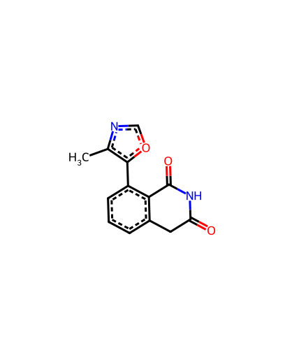 Cc1ncoc1-c1cccc2c1C(=O)NC(=O)C2